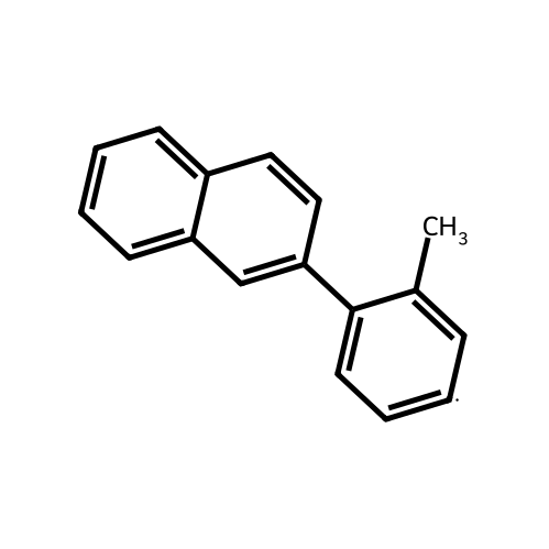 Cc1c[c]ccc1-c1ccc2ccccc2c1